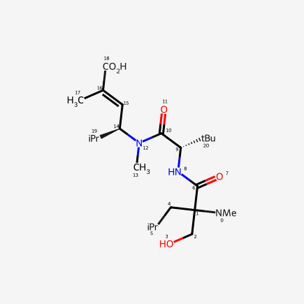 CNC(CO)(CC(C)C)C(=O)N[C@H](C(=O)N(C)[C@H](/C=C(\C)C(=O)O)C(C)C)C(C)(C)C